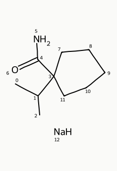 CC(C)C1(C(N)=O)CCCCC1.[NaH]